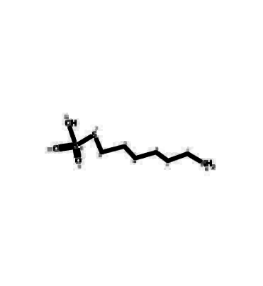 NCCCCCCSS(=O)(=O)O